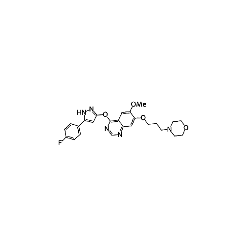 COc1cc2c(Oc3cc(-c4ccc(F)cc4)[nH]n3)ncnc2cc1OCCCN1CCOCC1